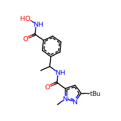 CC(NC(=O)c1cc(C(C)(C)C)nn1C)c1cccc(C(=O)NO)c1